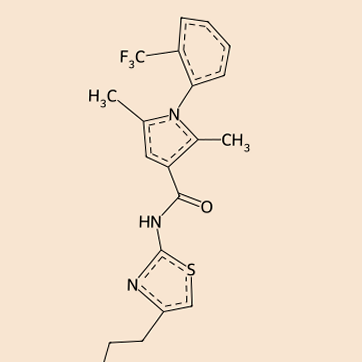 CC(=O)OCCc1csc(NC(=O)c2cc(C)n(-c3ccccc3C(F)(F)F)c2C)n1